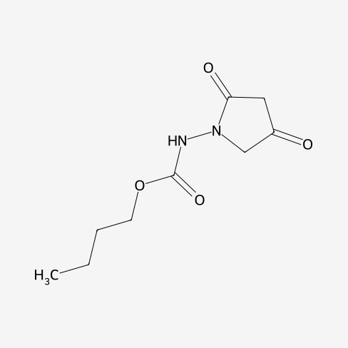 CCCCOC(=O)NN1CC(=O)CC1=O